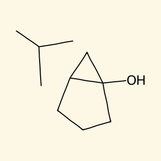 CC(C)C.OC12CCCC1C2